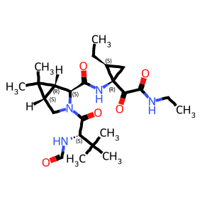 CCNC(=O)C(=O)[C@@]1(NC(=O)[C@@H]2[C@@H]3[C@H](CN2C(=O)[C@@H](NC=O)C(C)(C)C)C3(C)C)C[C@@H]1CC